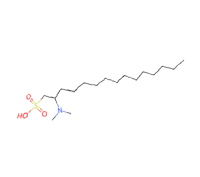 CCCCCCCCCCCCCC(CS(=O)(=O)O)N(C)C